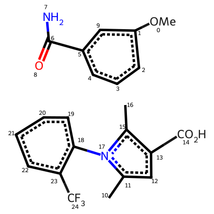 COc1cccc(C(N)=O)c1.Cc1cc(C(=O)O)c(C)n1-c1ccccc1C(F)(F)F